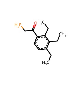 CCc1ccc(C(=O)CP)c(CC)c1CC